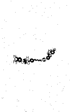 CC1(C)C(NC(=O)c2ccc(CCCCCCN3CCN(c4ccc5c(c4)C(=O)N([C@H]4CCC(=O)NC4=O)C5)CC3)cc2)C(C)(C)C1Oc1ccc(C#N)c(C(F)(F)F)c1